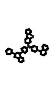 c1ccc(-c2cc(-c3ccc(N(c4ccc(-c5cccc6ccccc56)cc4)c4ccc5c(c4)sc4ccccc45)cc3)c3ccccc3c2)cc1